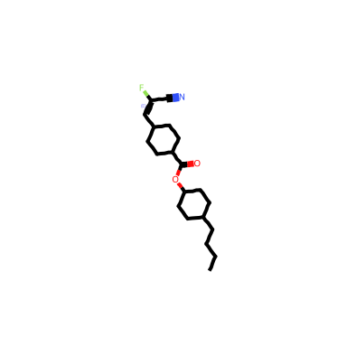 CCCCC1CCC(OC(=O)C2CCC(/C=C(/F)C#N)CC2)CC1